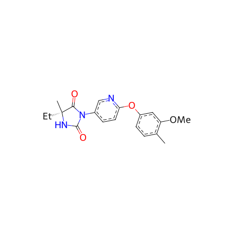 CC[C@@]1(C)NC(=O)N(c2ccc(Oc3ccc(C)c(OC)c3)nc2)C1=O